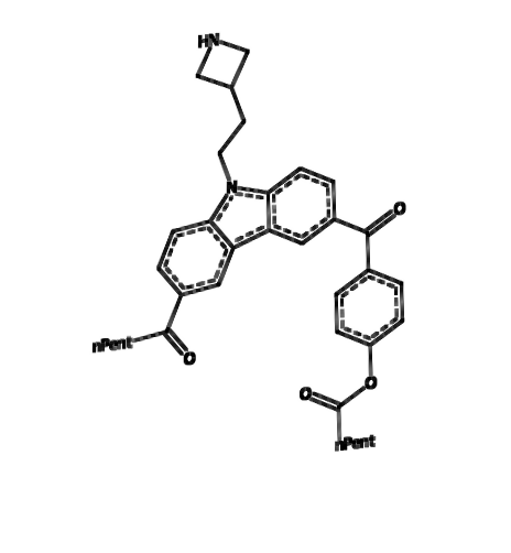 CCCCCC(=O)Oc1ccc(C(=O)c2ccc3c(c2)c2cc(C(=O)CCCCC)ccc2n3CCC2CNC2)cc1